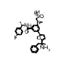 C[C@@H](NC(=O)c1cc(-c2ccc(C(C)(N)Cc3ccccc3)o2)cc(N(C)C[SH](=O)=O)c1)c1ccc(F)cc1